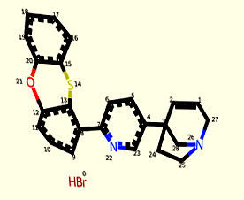 Br.C1=CC2(c3ccc(-c4cccc5c4Sc4ccccc4O5)nc3)CCN(C1)C2